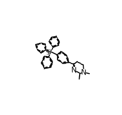 CC1N=C(c2ccc([Si](c3ccccc3)(c3ccccc3)c3ccccc3)cc2)CCN1C